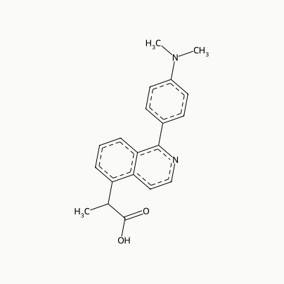 CC(C(=O)O)c1cccc2c(-c3ccc(N(C)C)cc3)nccc12